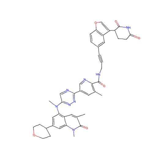 Cc1cc(-c2ncc(N(C)c3cc(C4CCOCC4)cc4c3cc(C)c(=O)n4C)nn2)cnc1C(=O)NCC#Cc1ccc2occ(C3CCC(=O)NC3=O)c2c1